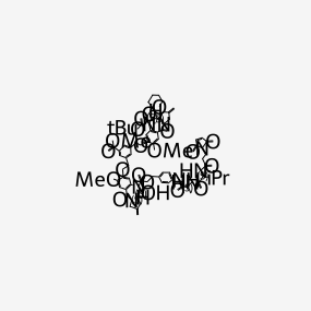 C=C1C[C@H]2[C@H](O)N(C(=O)OCc3ccc(NC(=O)[C@H](C)NC(=O)[C@@H](NC(=O)CCN4C(=O)C=CC4=O)C(C)C)cc3)c3cc(OCc4cc(COc5cc6c(cc5OC)C(=O)N5CC(=C)C[C@H]5[C@H](OC5CCCCO5)N6C(=O)OC(C)(C)C)cc(C(=O)OC)c4)c(OC)cc3C(=O)N2C1